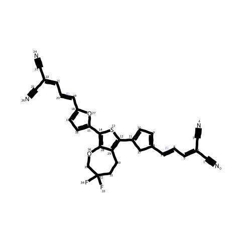 N#CC(C#N)=C/C=C/C1=CC=C(c2sc(-c3ccc(/C=C/C=C(C#N)C#N)o3)c3c2CCC(F)(F)CO3)C1